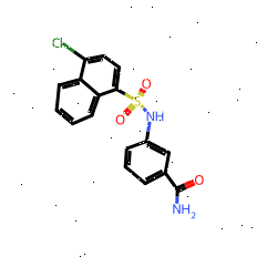 NC(=O)c1cccc(NS(=O)(=O)c2ccc(Cl)c3ccccc23)c1